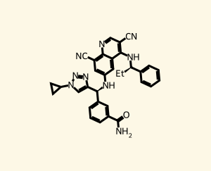 CC[C@@H](Nc1c(C#N)cnc2c(C#N)cc(N[C@@H](c3cccc(C(N)=O)c3)c3cn(C4CC4)nn3)cc12)c1ccccc1